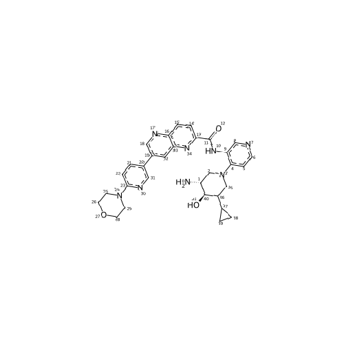 N[C@@H]1CN(c2ccncc2NC(=O)c2ccc3ncc(-c4ccc(N5CCOCC5)nc4)cc3n2)CC(C2CC2)[C@H]1O